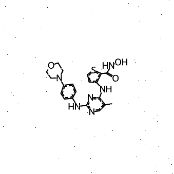 Cc1cnc(Nc2ccc(N3CCOCC3)cc2)nc1Nc1ccsc1C(=O)NO